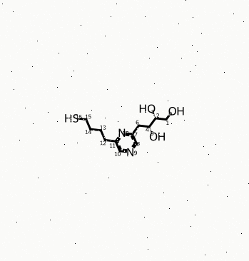 OC[C@@H](O)[C@H](O)Cc1cncc(CCCCS)n1